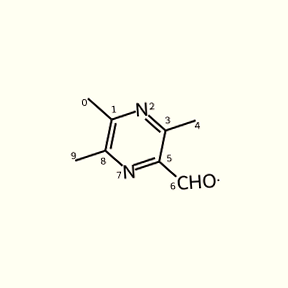 Cc1nc(C)c([C]=O)nc1C